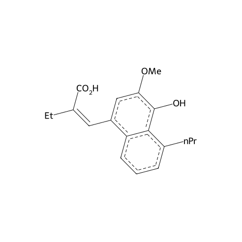 CCCc1cccc2c(/C=C(/CC)C(=O)O)cc(OC)c(O)c12